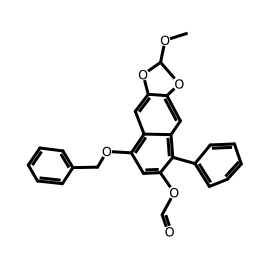 COC1Oc2cc3c(OCc4ccccc4)cc(OC=O)c(-c4ccccc4)c3cc2O1